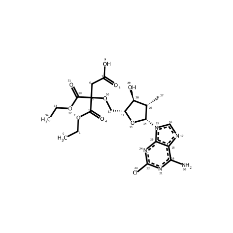 CCOC(=O)C(CC(=O)O)(OC[C@H]1O[C@@H](n2cnc3c(N)nc(Cl)nc32)[C@@H](F)[C@@H]1O)C(=O)OCC